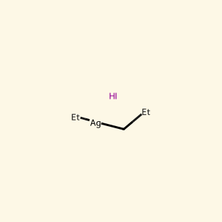 CC[CH2][Ag][CH2]C.I